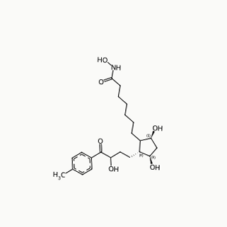 Cc1ccc(C(=O)C(O)CC[C@@H]2C(CCCCCCC(=O)NO)[C@@H](O)C[C@H]2O)cc1